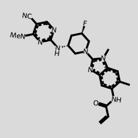 C=CC(=O)Nc1cc2nc(N3C[C@H](F)C[C@@H](Nc4ncc(C#N)c(NC)n4)C3)n(C)c2cc1C